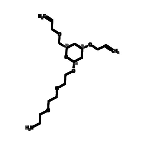 C=CCOC[C@@H]1C[C@H](OCC=C)C[C@H](OCCOCCOCCN)O1